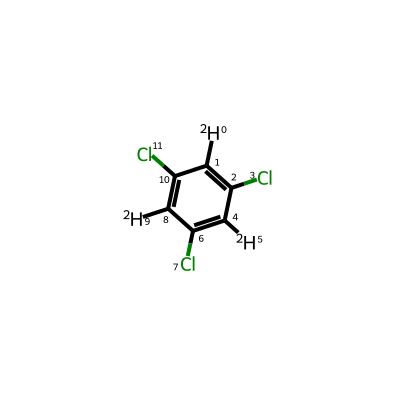 [2H]c1c(Cl)c([2H])c(Cl)c([2H])c1Cl